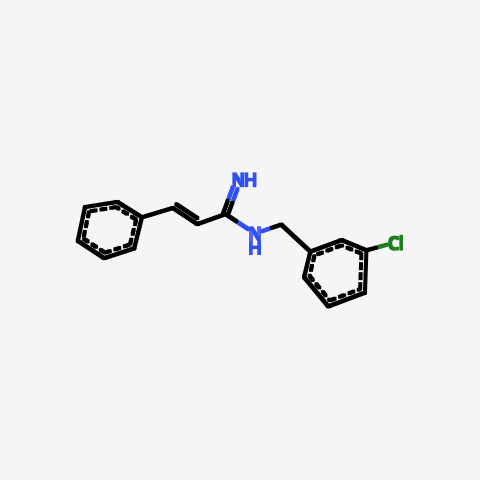 N=C(C=Cc1ccccc1)NCc1cccc(Cl)c1